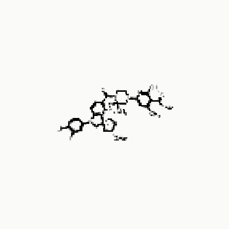 COC(=O)c1c(C)cc(N2CCN(C(=O)c3ccc4c(n3)[C@]3(CC[C@H](OC)C3)CN4c3ccc(Cl)c(F)c3)C(C)(C)C2)nc1C